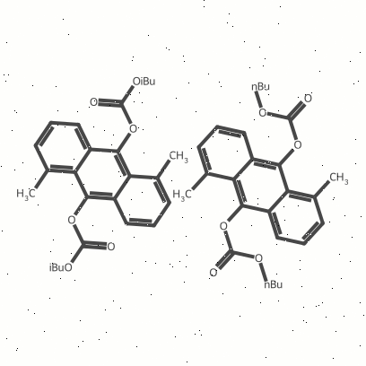 CCCCOC(=O)Oc1c2cccc(C)c2c(OC(=O)OCCCC)c2cccc(C)c12.Cc1cccc2c(OC(=O)OCC(C)C)c3c(C)cccc3c(OC(=O)OCC(C)C)c12